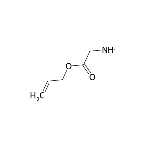 C=CCOC(=O)C[NH]